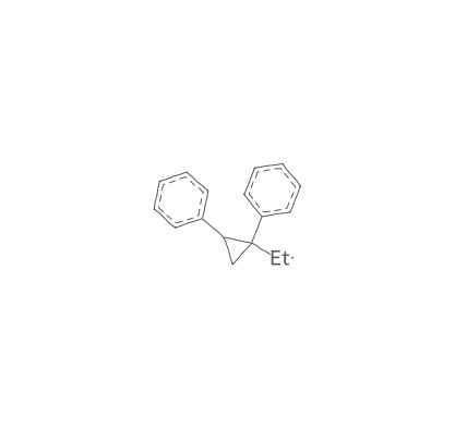 C[CH]C1(c2ccccc2)CC1c1ccccc1